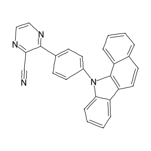 N#Cc1nccnc1-c1ccc(-n2c3ccccc3c3ccc4ccccc4c32)cc1